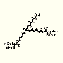 CCCCCCCCC(CCCCCC)C(=O)OCCCCCCN(CCCCCCO)CCCCCCOC(=O)C(CCCCCC)CCCCCCCC